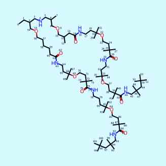 CCC(CNCC(C)COCC(C)CC(=O)NCCC(C)(C)OCCC(C)(C)C(=O)NCCC(C)(C)OCCC(C)(C)C(=O)NCC(C)(C)CC(C)(C)C)COCCCCCC(=O)NCCC(C)(C)OCCC(C)(C)C(=O)NCCCC(C)(C)OCCC(C)(C)C(=O)NCC(C)(C)CC(C)(C)C